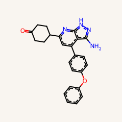 Nc1n[nH]c2nc(C3CCC(=O)CC3)cc(-c3ccc(Oc4ccccc4)cc3)c12